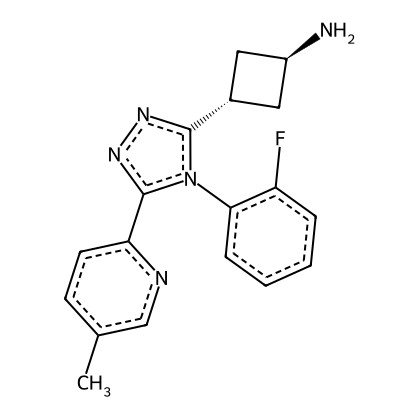 Cc1ccc(-c2nnc([C@H]3C[C@H](N)C3)n2-c2ccccc2F)nc1